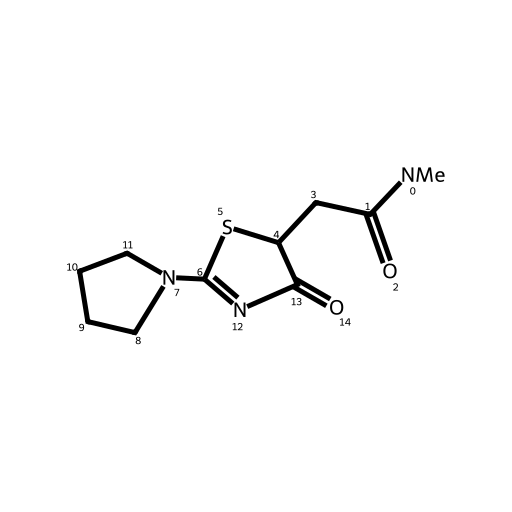 CNC(=O)CC1SC(N2CCCC2)=NC1=O